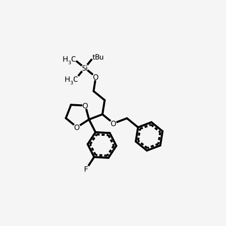 CC(C)(C)[Si](C)(C)OCCC(OCc1ccccc1)C1(c2cccc(F)c2)OCCO1